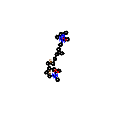 c1ccc(-c2ccc(-c3cc(-c4cccc5sc6c(-c7ccc(-c8ccc9c%10ccc(-c%11ccc(-c%12nc(-c%13ccccc%13)nc(-n%13c%14ccccc%14c%14ccc%15c%16ccccc%16n(-c%16ccccc%16)c%15c%14%13)n%12)cc%11)cc%10c%10ccccc%10c9c8)cc7)cccc6c45)cc4c3sc3c(-c5cccc(-c6nc(-c7ccccc7)nc(-c7ccccc7)n6)c5)cccc34)cc2)cc1